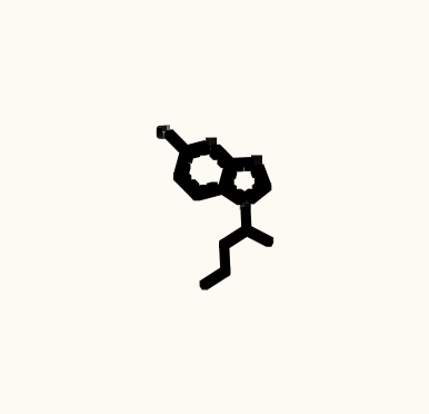 CCCC(C)n1cnc2nc(Cl)ccc21